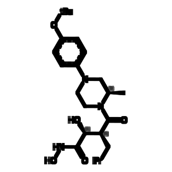 CC(C)C[C@H](C(=O)N1CCN(c2ccc(OC(C)(C)C)cc2)C[C@H]1C)[C@H](O)C(=O)NO